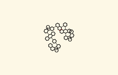 c1ccc(-c2c3ccccc3c(-c3cccc4oc5ccc6ccccc6c5c34)c3ccccc23)c(-c2cccc3c(-c4ccc5c(c4)oc4cccc(-c6c7ccccc7c(-c7ccc(-c8cccc9oc%10ccc%11ccccc%11c%10c89)cc7)c7ccccc67)c45)cccc23)c1